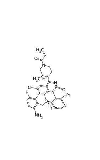 C=CC(=O)N1CCN(c2nc(=O)n(-c3c(C)ccnc3C(C)C)c3c4c(c(Cl)cc23)-c2c(F)ccc(N)c2CO4)[C@@H](C)C1